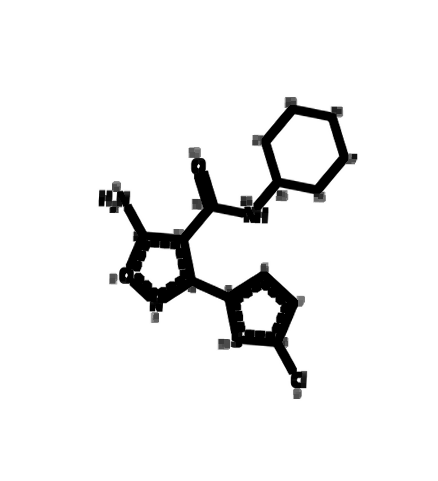 Nc1onc(-c2ccc(Cl)s2)c1C(=O)NC1CCCCC1